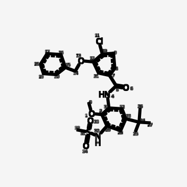 COc1c(NC(=O)c2ccc(Cl)c(OCc3ccccc3)c2)cc(C(C)(C)C)cc1NS(C)(=O)=O